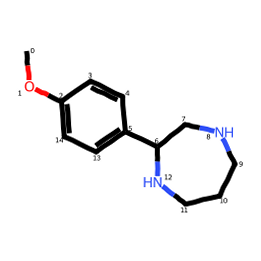 COc1ccc(C2CNCCCN2)cc1